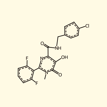 Cn1c(-c2c(F)cccc2F)nc(C(=O)NCc2ccc(Cl)cc2)c(O)c1=O